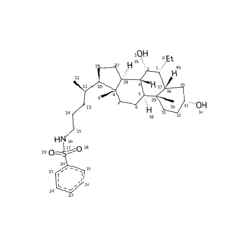 CC[C@H]1[C@@H](O)[C@@H]2[C@H](CC[C@]3(C)[C@@H]([C@H](C)CCCNS(=O)(=O)c4ccccc4)CC[C@@H]23)[C@@]2(C)CC[C@@H](O)C[C@@H]12